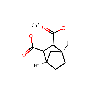 O=C([O-])C1C(C(=O)[O-])[C@H]2CC[C@@H]1C2.[Ca+2]